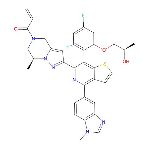 C=CC(=O)N1Cc2cc(-c3nc(-c4ccc5c(c4)ncn5C)c4ccsc4c3-c3c(F)cc(F)cc3OC[C@@H](C)O)nn2[C@@H](C)C1